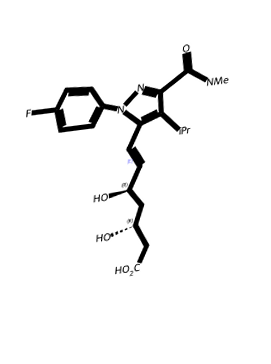 CNC(=O)c1nn(-c2ccc(F)cc2)c(/C=C/[C@H](O)C[C@@H](O)CC(=O)O)c1C(C)C